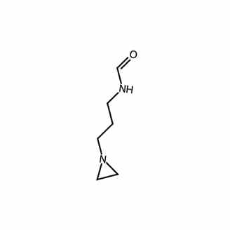 O=CNCCCN1CC1